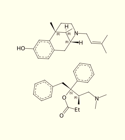 CC(C)=CCN1CC[C@@]2(C)c3cc(O)ccc3C[C@@H]1[C@@H]2C.CCC(=O)O[C@](Cc1ccccc1)(c1ccccc1)[C@H](C)CN(C)C